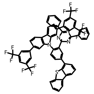 FC(F)(F)c1cc(-c2ccc3c4ccc(-c5cc(C(F)(F)F)cc(C(F)(F)F)c5)cc4n(-c4ccc(-c5cccc6c5sc5ccccc56)cc4-c4nc(-c5ccccc5)nc(-c5ccccc5)n4)c3c2)cc(C(F)(F)F)c1